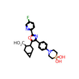 O=C(O)C1CC2CC2CC1c1oc(-c2ccc(F)cn2)nc1-c1ccc(N2CCS(O)(O)CC2)cc1